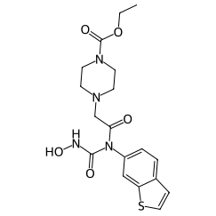 CCOC(=O)N1CCN(CC(=O)N(C(=O)NO)c2ccc3ccsc3c2)CC1